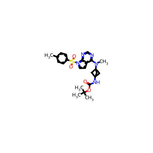 Cc1ccc(S(=O)(=O)n2ccc3c(N(C)C45CC(NC(=O)OC(C)(C)C)(C4)C5)ncnc32)cc1